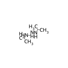 CC(C)NCNNC(C)C